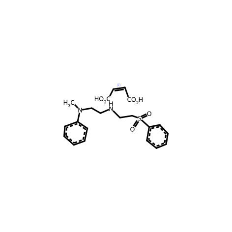 CN(CCNCCS(=O)(=O)c1ccccc1)c1ccccc1.O=C(O)/C=C\C(=O)O